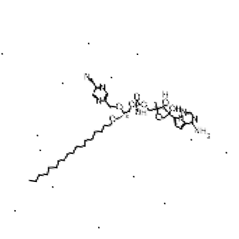 CCCCCCCCCCCCCCCCCCOC[C@@H](COP(=O)(O)OC[C@@]1(C)OCC(O)(c2ccc3c(N)ncnn23)[C@@H]1O)OCc1cnc(C#N)cn1